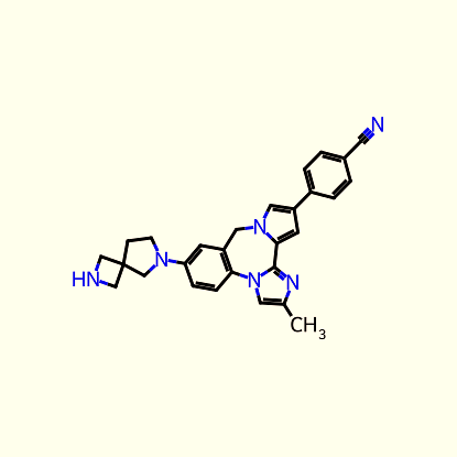 Cc1cn2c(n1)-c1cc(-c3ccc(C#N)cc3)cn1Cc1cc(N3CCC4(CNC4)C3)ccc1-2